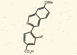 COc1ccc2cc(-c3ccc(C(=O)O)cc3F)ncc2c1